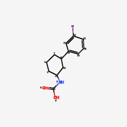 O=C(O)NC1CCCC(c2cccc(I)c2)C1